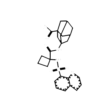 NC(=O)C12CC3CC(CC(NC(=O)C4(NS(=O)(=O)c5cccc6cccnc56)CCC4)(C3)C1)C2